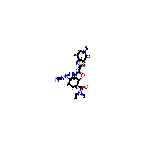 CCN(C)C(=O)[C@H]1CC[C@H](N=[N+]=[N-])[C@H](NC(=O)c2nc3c(s2)CN(C)CC3)C1